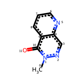 Cn1ncc2ncccc2c1=O